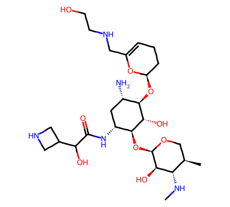 CN[C@@H]1[C@@H](O)[C@@H](O[C@@H]2[C@@H](O)[C@H](O[C@@H]3CCC=C(CNCCO)O3)[C@@H](N)C[C@H]2NC(=O)C(O)C2CNC2)OC[C@H]1C